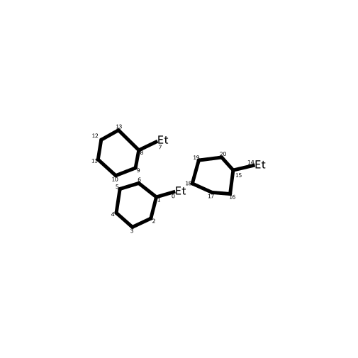 CCC1CCCCC1.CCC1CCCCC1.CCC1CCCCC1